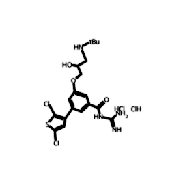 CC(C)(C)NCC(O)COc1cc(C(=O)NC(=N)N)cc(-c2cc(Cl)sc2Cl)c1.Cl.Cl